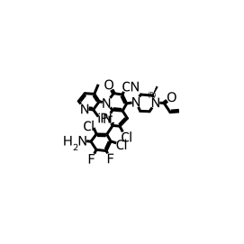 C=CC(=O)N1CCN(c2c(C#N)c(=O)n(-c3c(C)ccnc3C(C)C)c3nc(C4=C(Cl)C(N)C(F)C(F)=C4Cl)c(Cl)cc23)C[C@H]1C